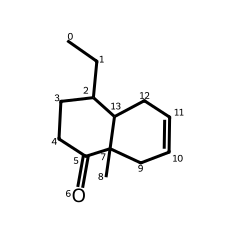 CCC1CCC(=O)C2(C)CC=CCC12